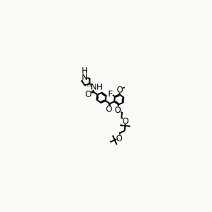 COc1ccc(OCCOC(C)(C)CCOC(C)(C)C)c(C(=O)c2ccc(C(=O)N[C@H]3CCNC3)cc2)c1F